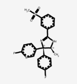 C[C@@H]1NC(c2cccc(S(C)(=O)=O)c2)=N[C@@]1(c1ccc(F)cc1)c1ccc(F)nc1